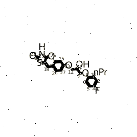 CCCc1cc(F)ccc1OCC(O)COc1ccc(C=C2SC(=O)NC2=O)cc1